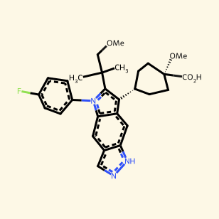 COCC(C)(C)c1c([C@H]2CC[C@](OC)(C(=O)O)CC2)c2cc3[nH]ncc3cc2n1-c1ccc(F)cc1